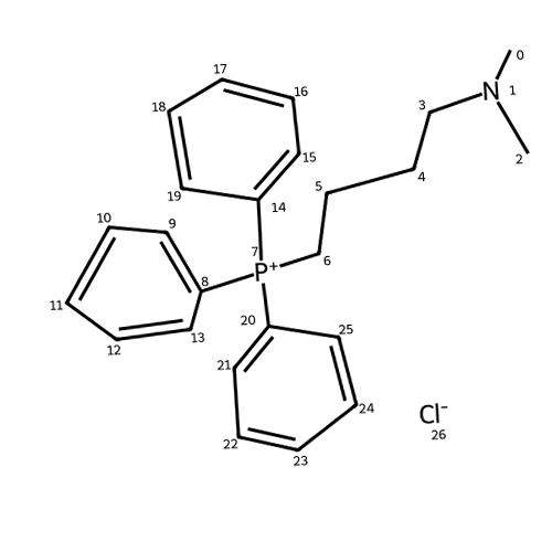 CN(C)CCCC[P+](c1ccccc1)(c1ccccc1)c1ccccc1.[Cl-]